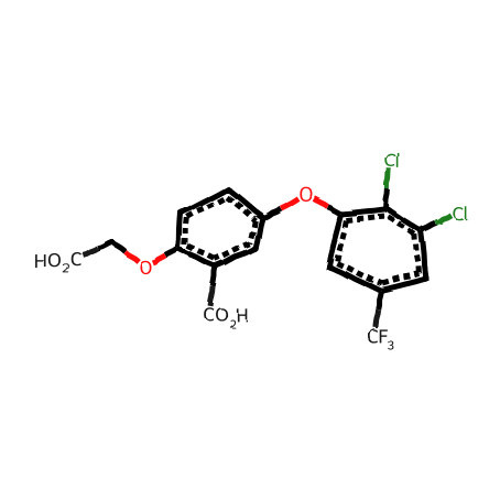 O=C(O)COc1ccc(Oc2cc(C(F)(F)F)cc(Cl)c2Cl)cc1C(=O)O